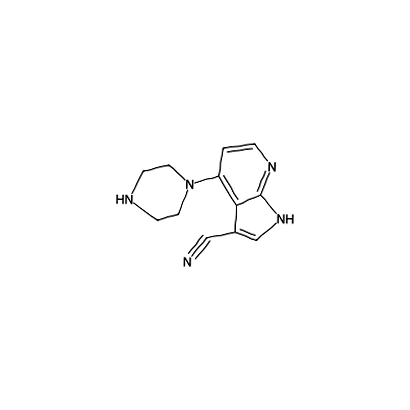 N#Cc1c[nH]c2nccc(N3CCNCC3)c12